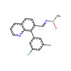 CC(C)(C)[S+]([O-])/N=C/c1ccc2cccnc2c1-c1cc(F)cc(F)c1